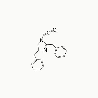 O=C=CN1CC(Cc2ccccc2)N=C1Cc1ccccc1